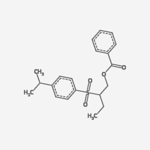 CCC(COC(=O)c1ccccc1)S(=O)(=O)c1ccc(C(C)C)cc1